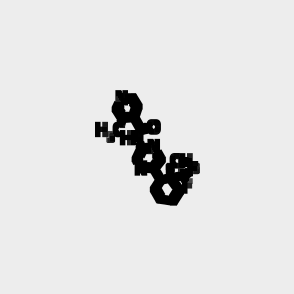 CCC1(C(F)(F)F)C=CC=CC1c1cnc(NC(=O)c2ccncc2C)cn1